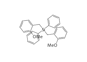 COc1ccccc1C[Si](Cc1ccccc1OC)(c1ccccc1)c1ccccc1